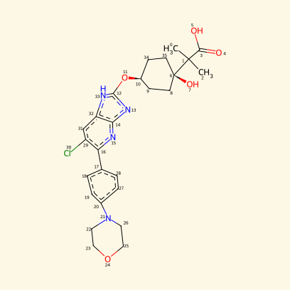 CC(C)(C(=O)O)[C@]1(O)CC[C@@H](Oc2nc3nc(-c4ccc(N5CCOCC5)cc4)c(Cl)cc3[nH]2)CC1